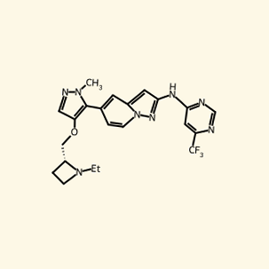 CCN1CC[C@@H]1COc1cnn(C)c1-c1ccn2nc(Nc3cc(C(F)(F)F)ncn3)cc2c1